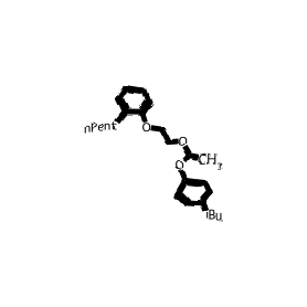 CCCCCc1ccccc1OCCOC(C)Oc1ccc(C(C)CC)cc1